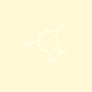 CC1CCN(O)CN(O)C(C)C1